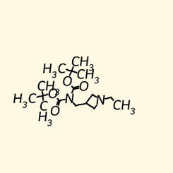 CCN1CC(CN(C(=O)OC(C)(C)C)C(=O)OC(C)(C)C)C1